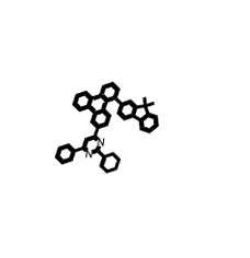 CC1(C)c2ccccc2-c2ccc(-c3cccc4c5ccccc5c5cc(-c6cc(-c7ccccc7)nc(C7=CCCCC7)n6)ccc5c34)cc21